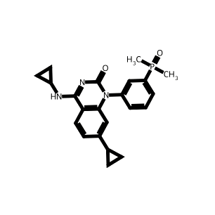 CP(C)(=O)c1cccc(-n2c(=O)nc(NC3CC3)c3ccc(C4CC4)cc32)c1